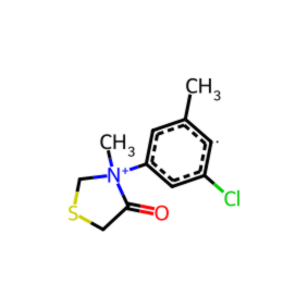 Cc1[c]c(Cl)cc([N+]2(C)CSCC2=O)c1